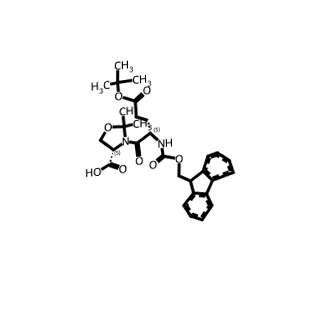 CC(C)(C)OC(=O)CC[C@H](NC(=O)OCC1c2ccccc2-c2ccccc21)C(=O)N1[C@H](C(=O)O)COC1(C)C